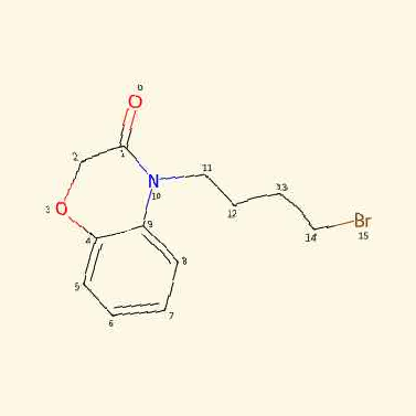 O=C1COc2ccccc2N1CCCCBr